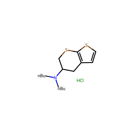 CCCCN(CCCC)C1CSc2sccc2C1.Cl